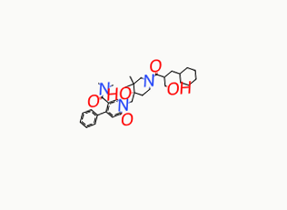 CN(C)C(=O)c1cn(C[C@]2(O)CCN(C(=O)C(CO)CC3CCCCC3)CC2(C)C)c(=O)cc1-c1ccccc1